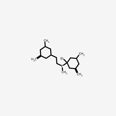 C=C1CC(C)CC(CCP(C)C2(CC)CC(=C)CC(C)C2)C1